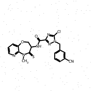 CN1C(=S)C(NC(=O)c2nc(Cl)n(Cc3cccc(C#N)c3)n2)COc2cccnc21